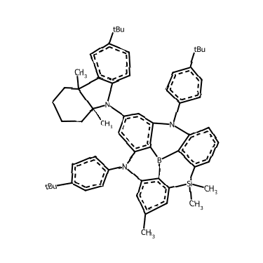 Cc1cc2c3c(c1)[Si](C)(C)c1cccc4c1B3c1c(cc(N3c5ccc(C(C)(C)C)cc5C5(C)CCCCC35C)cc1N2c1ccc(C(C)(C)C)cc1)N4c1ccc(C(C)(C)C)cc1